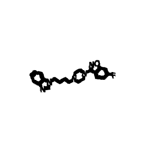 Fc1ccc2c(N3CCN(CCCCn4cnc5ccccc54)CC3)noc2c1